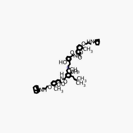 CC(C)=CCc1cc(C(=O)Nc2cc3ccc(OCCCNC45CC6CC(CC(C6)C4)C5)c(C)c3oc2=O)cc(C/C(C)=C/Cc2cc(C(=O)Nc3cc4ccc(OCCCNC56CCC(CC5)C6)c(C)c4oc3=O)ccc2O)c1O